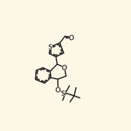 CC(C)(C)[Si](C)(C)OC1COC(c2csc(C=O)c2)c2ccccc21